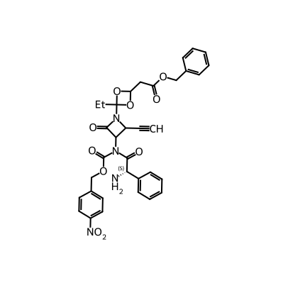 C#CC1C(N(C(=O)OCc2ccc([N+](=O)[O-])cc2)C(=O)[C@@H](N)c2ccccc2)C(=O)N1C1(CC)OC(CC(=O)OCc2ccccc2)O1